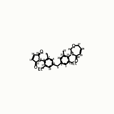 CCc1cc(Cc2cc(C)c(N3C(=O)C=CC3=O)c(CC)c2)cc(C)c1N1COCC=CC1=O